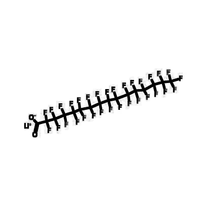 O=C([O-])C(F)(F)C(F)(F)C(F)(F)C(F)(F)C(F)(F)C(F)(F)C(F)(F)C(F)(F)C(F)(F)C(F)(F)C(F)(F)C(F)(F)C(F)(F)C(F)(F)C(F)(F)F.[Li+]